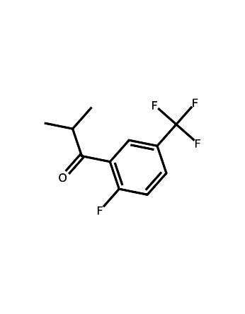 CC(C)C(=O)c1cc(C(F)(F)F)ccc1F